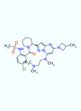 CC1CN(c2cc(N(C)CCN(C)C)n3nc([C@@H]4CCCCN4C(=O)c4cc(Cl)ccc4NS(C)(=O)=O)cc3n2)C1